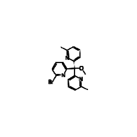 COC(c1cccc(C)n1)(c1cccc(C)n1)c1cccc(Br)n1